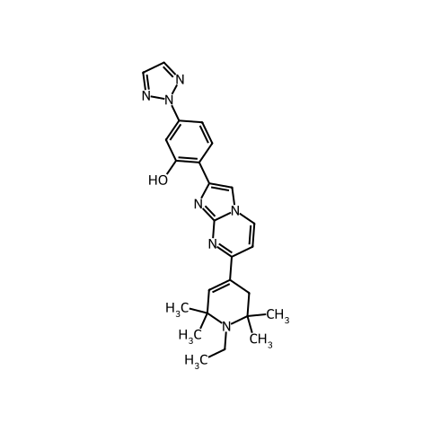 CCN1C(C)(C)C=C(c2ccn3cc(-c4ccc(-n5nccn5)cc4O)nc3n2)CC1(C)C